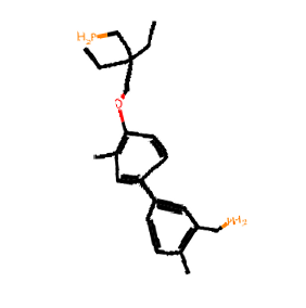 CCC(CC)(CP)COc1ccc(-c2ccc(C)c(CP)c2)cc1C